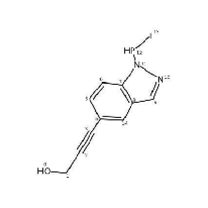 OCC#Cc1ccc2c(cnn2PI)c1